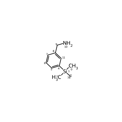 C[Si](C)(F)c1cccc(CN)c1